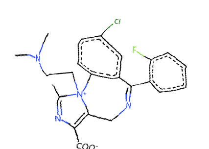 CC1=NC(C(=O)[O-])=C2CN=C(c3ccccc3F)c3cc(Cl)ccc3[N+]12CCN(C)C